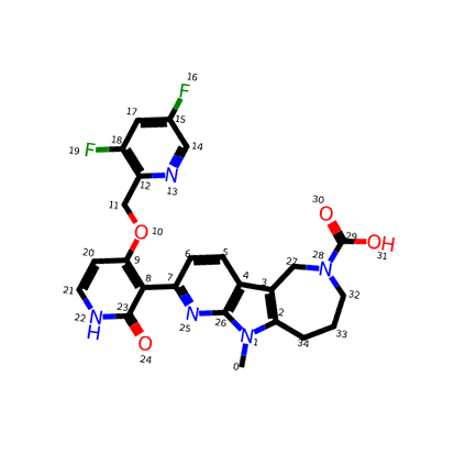 Cn1c2c(c3ccc(-c4c(OCc5ncc(F)cc5F)cc[nH]c4=O)nc31)CN(C(=O)O)CCC2